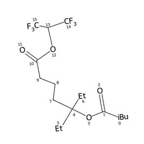 CCC(C)C(=O)OC(CC)(CC)CCCC(=O)OC(C(F)(F)F)C(F)(F)F